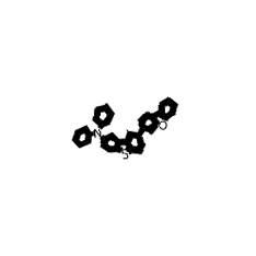 c1ccc(N(c2ccccc2)c2ccc3sc4ccc(-c5ccc6c(c5)oc5ccccc56)cc4c3c2)cc1